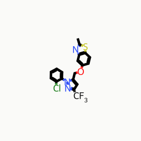 Cc1nc2cc(OCc3cc(C(F)(F)F)nn3-c3ccccc3Cl)ccc2s1